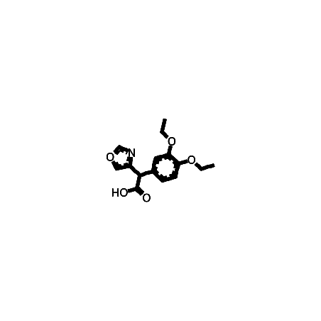 CCOc1ccc(C(C(=O)O)c2cocn2)cc1OCC